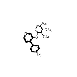 CC(=O)O[C@@H]1[C@@H](OC(C)=O)[C@H](OC(C)=O)CS[C@H]1Oc1cnccc1-c1ccc(C(F)(F)F)cc1